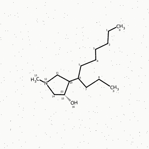 CCCCCCC(CCC)C1CN(C)C[C@H]1O